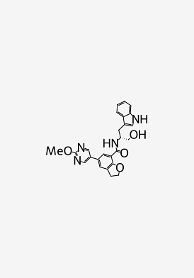 COc1ncc(-c2cc3c(c(C(=O)N[C@@H](CO)Cc4c[nH]c5ccccc45)c2)OCC3)cn1